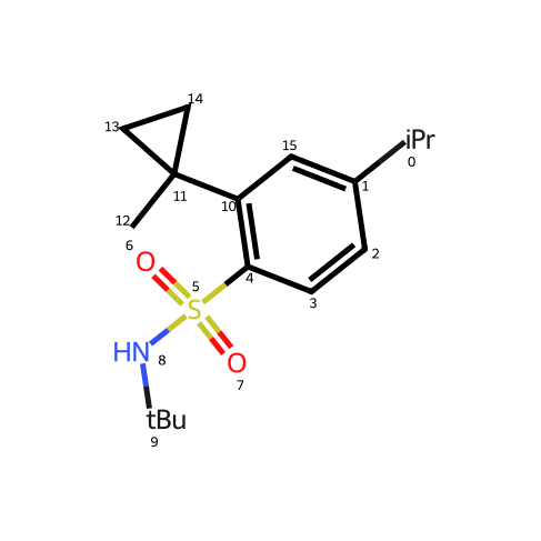 CC(C)c1ccc(S(=O)(=O)NC(C)(C)C)c(C2(C)CC2)c1